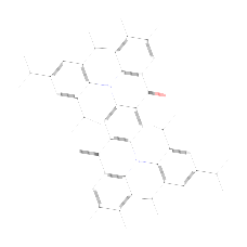 C=C1c2cc(C)c(C)cc2N(c2c(C(C)C)cc(C(C)C)cc2C(C)C)c2cc3c(=O)c4cc(C)c(C)cc4n(-c4c(C(C)C)cc(C(C)C)cc4C(C)C)c3cc21